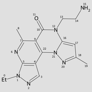 CCn1ncc2c1nc(C)c1c(=O)n(CCN)c3cc(C)nn3c12